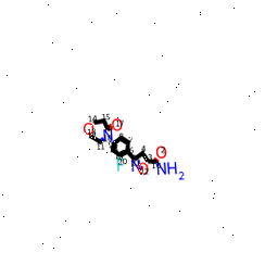 NC(=O)C1CC(c2ccc(N3CCOCCC3=O)cc2F)=NO1